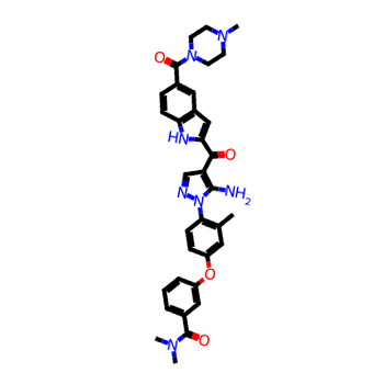 Cc1cc(Oc2cccc(C(=O)N(C)C)c2)ccc1-n1ncc(C(=O)c2cc3cc(C(=O)N4CCN(C)CC4)ccc3[nH]2)c1N